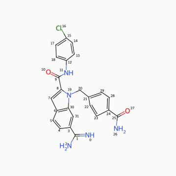 N=C(N)c1ccc2cc(C(=O)Nc3ccc(Cl)cc3)n(Cc3ccc(C(N)=O)cc3)c2c1